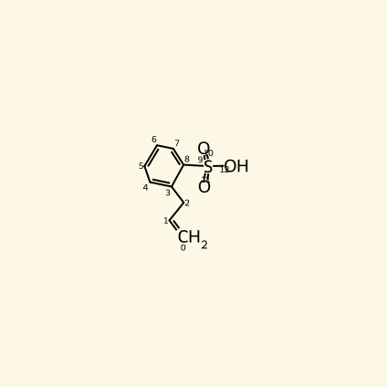 C=CCc1ccccc1S(=O)(=O)O